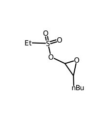 CCCCC1OC1OS(=O)(=O)CC